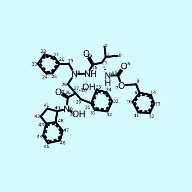 CC(C)[C@H](NC(=O)OCc1ccccc1)C(=O)NN(Cc1ccccc1)C[C@@](O)(Cc1ccccc1)C(=O)N(O)C1CCc2ccccc21